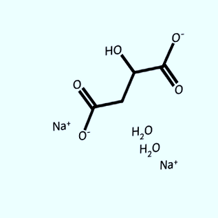 O.O.O=C([O-])CC(O)C(=O)[O-].[Na+].[Na+]